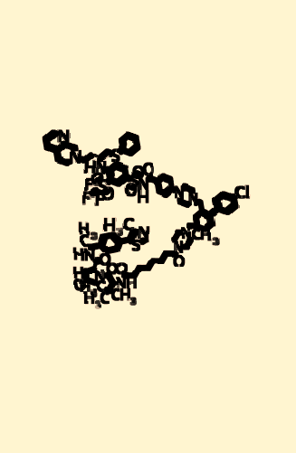 Cc1ncsc1-c1ccc([C@H](C)NC(=O)[C@@H]2C[C@@H](O)CN2C(=O)[C@@H](NC(=O)CCCCCCC(=O)N2CCN(C[C@]3(C)CCC(c4ccc(Cl)cc4)=C(CN4CCN(c5ccc(C(=O)NS(=O)(=O)c6ccc(N[C@H](CCN7CCc8cccnc8C7)CSc7ccccc7)c(S(=O)(=O)C(F)(F)F)c6)cc5)CC4)C3)CC2)C(C)(C)C)cc1